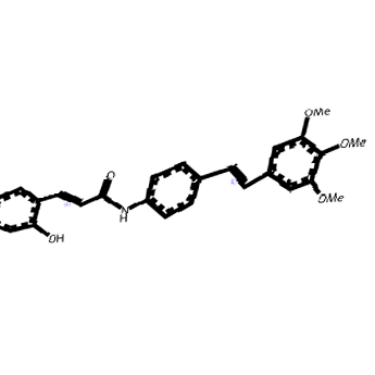 COc1cc(/C=C/c2ccc(NC(=O)/C=C/c3ccccc3O)cc2)cc(OC)c1OC